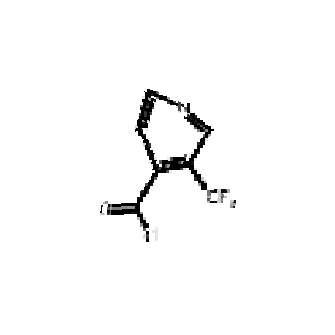 O=C(Cl)c1ccncc1C(F)(F)F